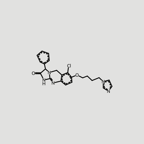 O=C1NC2=Nc3ccc(OCCCCn4ccnc4)c(Cl)c3CN2C1c1ccccc1